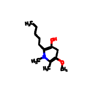 CCCCCC1=C(O)CC(OC)=C(C)N1C